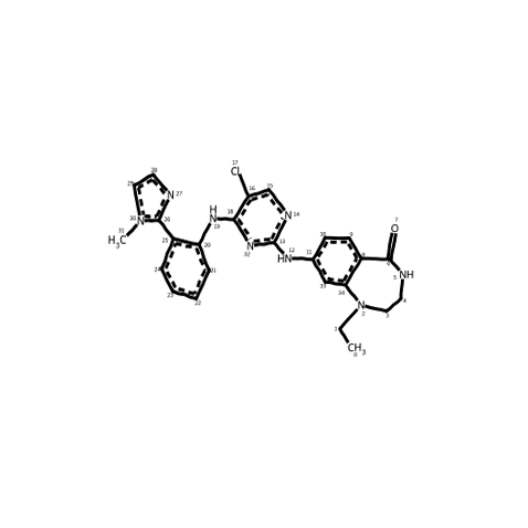 CCN1CCNC(=O)c2ccc(Nc3ncc(Cl)c(Nc4ccccc4-c4nccn4C)n3)cc21